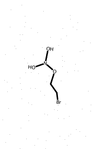 ON(O)OCCBr